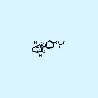 N[C@@H]1C[C@H]2CC[C@@H](C1)N2S(=O)(=O)c1ccc(OC(F)F)cc1